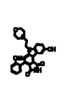 COc1ccccc1-c1cc2c(c3c1C(=O)NC3=O)c1cc(O)ccc1n2CCN1CCOCC1